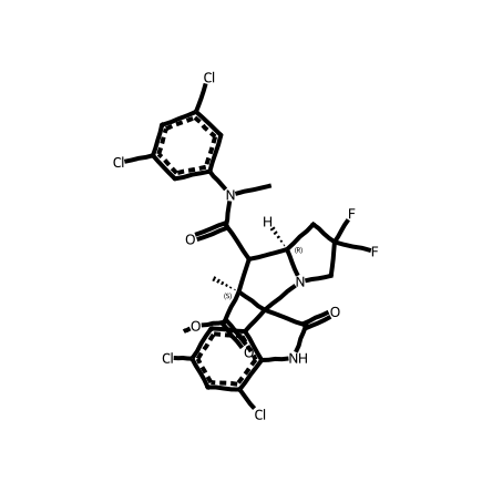 COC(=O)[C@@]1(C)C(C(=O)N(C)c2cc(Cl)cc(Cl)c2)[C@H]2CC(F)(F)CN2C12C(=O)Nc1c(Cl)cc(Cl)cc12